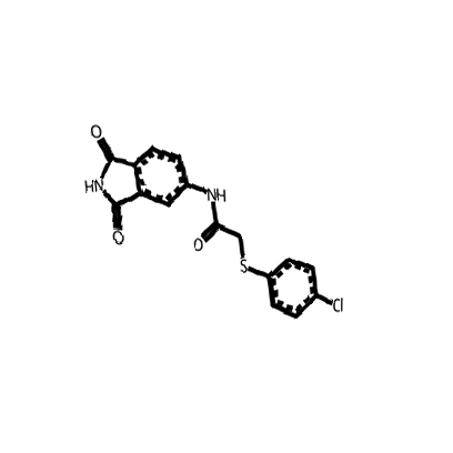 O=C(CSc1ccc(Cl)cc1)Nc1ccc2c(c1)C(=O)NC2=O